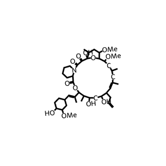 C=CCC1/C=C(/C)CC(C)CC(OC)C2OC(O)(C(=O)C(=O)N3CCCCC3C(=O)OC(/C(C)=C/C3CCC(O)C(OC)C3)C(C)C(O)CC1O)C(C)CC2OC